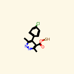 Cc1nnc(C)c(-c2ccc(Cl)cc2)c1C(=O)OS